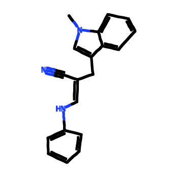 Cn1cc(CC(C#N)=CNc2ccccc2)c2ccccc21